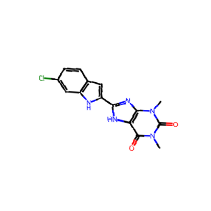 Cn1c(=O)c2[nH]c(-c3cc4ccc(Cl)cc4[nH]3)nc2n(C)c1=O